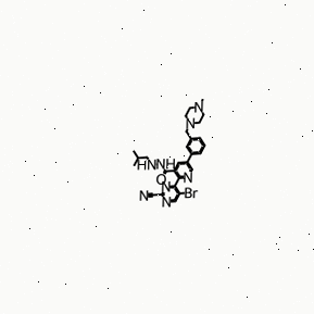 CC(C)CNNC(=O)c1cc(-c2cccc(CN3CCN(C)CC3)c2)cnc1-c1nc(C#N)ncc1Br